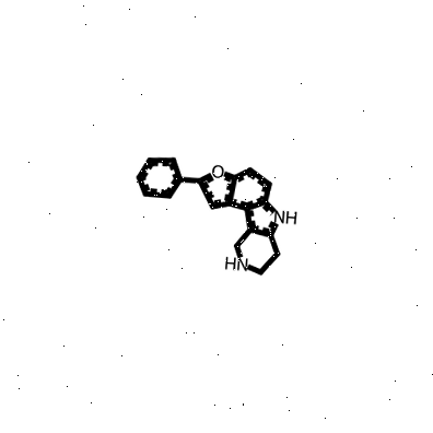 c1ccc(-c2cc3c(ccc4[nH]c5c(c43)CNCC5)o2)cc1